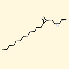 C=C/C=C\CC1OC1CCCCCCCCCCCC